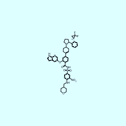 O=C(NS(=O)(=O)c1ccc(NCC2CCOCC2)c([N+](=O)[O-])c1)c1ccc(C2=CCC(N3CCCC3c3ccccc3[C@@H]3CC3(F)F)CC2)cc1Oc1cnc2[nH]ccc2c1